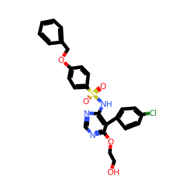 O=S(=O)(Nc1ncnc(OCCO)c1-c1ccc(Cl)cc1)c1ccc(OCc2ccccc2)cc1